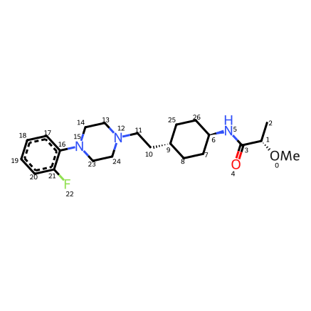 CO[C@@H](C)C(=O)N[C@H]1CC[C@H](CCN2CCN(c3ccccc3F)CC2)CC1